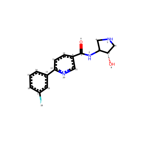 O=C(NC1CNC[C@@H]1O)c1ccc(-c2cccc(F)c2)nc1